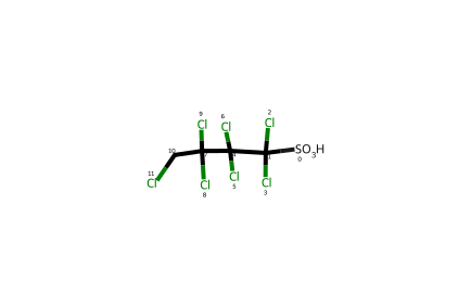 O=S(=O)(O)C(Cl)(Cl)C(Cl)(Cl)C(Cl)(Cl)CCl